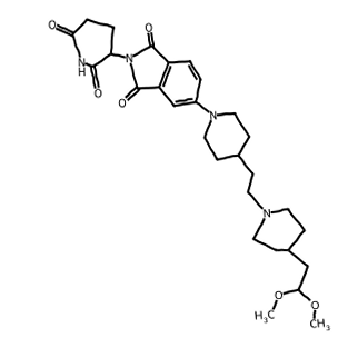 COC(CC1CCN(CCC2CCN(c3ccc4c(c3)C(=O)N(C3CCC(=O)NC3=O)C4=O)CC2)CC1)OC